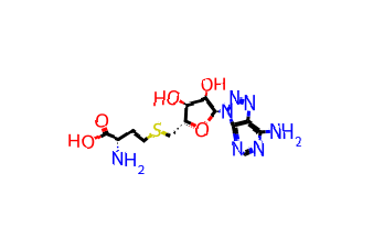 Nc1ncnc2c1nnn2[C@@H]1O[C@H](CSCC[C@H](N)C(=O)O)[C@@H](O)[C@H]1O